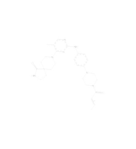 C/C=C/C(=O)N1CCN(c2ccc(Nc3ncc(C)c(N4CCC5(CCNC5=O)CC4)n3)cc2)CC1